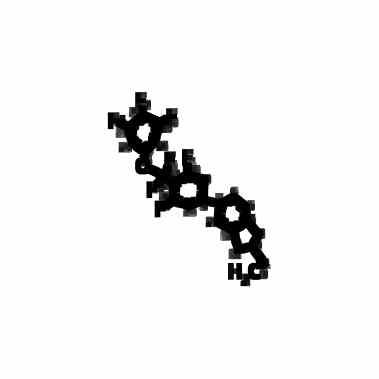 C=CC1Cc2ccc(-c3cc(F)c(C(F)(F)Oc4cc(F)c(F)c(F)c4)c(F)c3)cc2C1